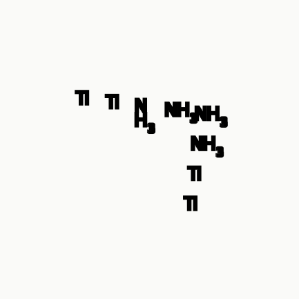 N.N.N.N.[Ti].[Ti].[Ti].[Ti]